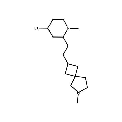 CCC1CCN(C)C(CCC2CC3(CCN(C)C3)C2)C1